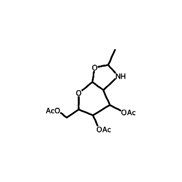 CC(=O)OCC1OC2OC(C)NC2C(OC(C)=O)C1OC(C)=O